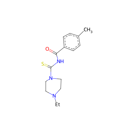 CCN1CCN(C(=S)NC(=O)c2ccc(C)cc2)CC1